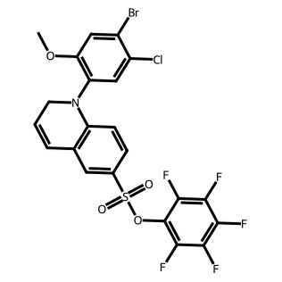 COc1cc(Br)c(Cl)cc1N1CC=Cc2cc(S(=O)(=O)Oc3c(F)c(F)c(F)c(F)c3F)ccc21